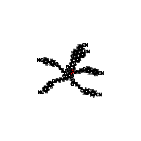 N#Cc1ccc(-c2ccc(OCCCCCC(=O)OC[C@@H](OC(=O)CCCCCOc3ccc(-c4ccc(C#N)cc4)cc3)[C@@H](OC(=O)CCCCCOc3ccc(-c4ccc(C#N)cc4)cc3)[C@H](OC(=O)CCCCCOc3ccc(-c4ccc(C#N)cc4)cc3)[C@@H](COC(=O)CCCCCOc3ccc(-c4ccc(C#N)cc4)cc3)OC(=O)CCCCCOc3ccc(-c4ccc(C#N)cc4)cc3)cc2)cc1